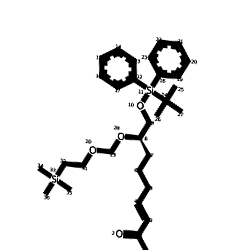 CC(=O)/C=C/CCC[C@H](CO[Si](c1ccccc1)(c1ccccc1)C(C)(C)C)OCOCC[Si](C)(C)C